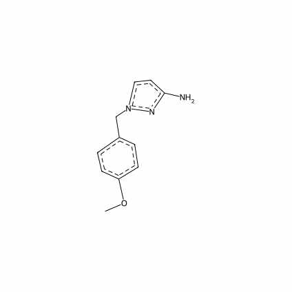 COc1ccc(Cn2ccc(N)n2)cc1